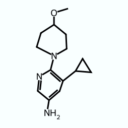 COC1CCN(c2ncc(N)cc2C2CC2)CC1